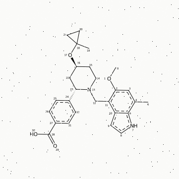 COc1cc(C)c2[nH]ccc2c1CN1CC[C@H](OC2(C)CC2)C[C@H]1c1ccc(C(=O)O)cc1